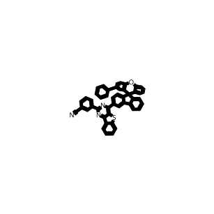 N#Cc1cccc(-c2nc(-c3ccc4c(c3)-c3ccccc3C43c4ccccc4Oc4ccc(-c5ccccc5)cc43)c3sc4ccccc4c3n2)c1